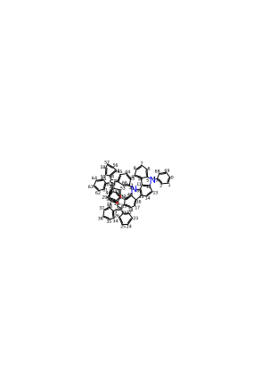 c1ccc(-n2c3ccccc3c3c2ccc2c4ccc([Si](c5ccccc5)(c5ccccc5)c5ccccc5)cc4n(-c4cccc([Si](c5ccccc5)(c5ccccc5)c5ccccc5)c4)c23)cc1